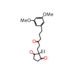 CCC1(CCC(=O)CCCc2cc(OC)cc(OC)c2)C(=O)CCC1=O